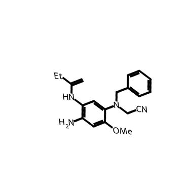 C=C(CC)Nc1cc(N(CC#N)Cc2ccccc2)c(OC)cc1N